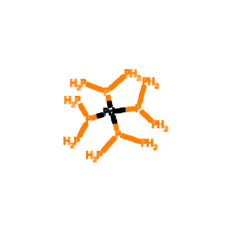 P[P](P)[Pd]([P](P)P)([P](P)P)[P](P)P